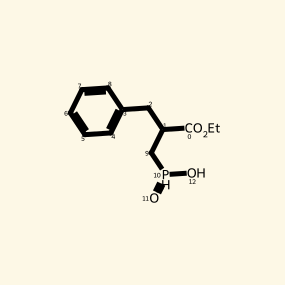 CCOC(=O)C(Cc1ccccc1)C[PH](=O)O